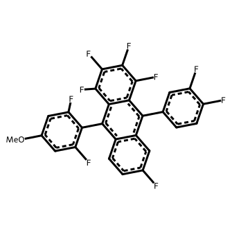 COc1cc(F)c(-c2c3ccc(F)cc3c(-c3ccc(F)c(F)c3)c3c(F)c(F)c(F)c(F)c23)c(F)c1